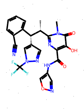 C[C@H](c1nc(C(=O)Nc2cnoc2)c(O)c(=O)n1C)[C@H](c1cnn(C(F)(F)F)c1)c1ccccc1C#N